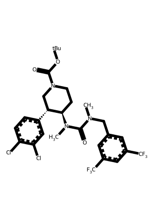 CN(Cc1cc(C(F)(F)F)cc(C(F)(F)F)c1)C(=O)N(C)[C@@H]1CCN(C(=O)OC(C)(C)C)C[C@H]1c1ccc(Cl)c(Cl)c1